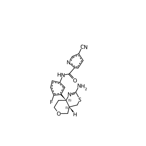 N#Cc1ccc(C(=O)Nc2ccc(F)c([C@]34CCOC[C@H]3CSC(N)=N4)c2)nc1